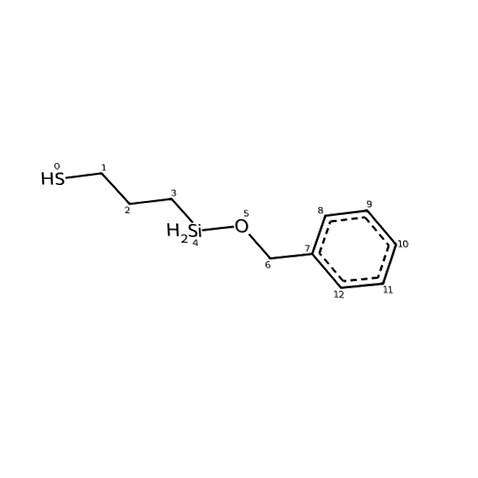 SCCC[SiH2]OCc1ccccc1